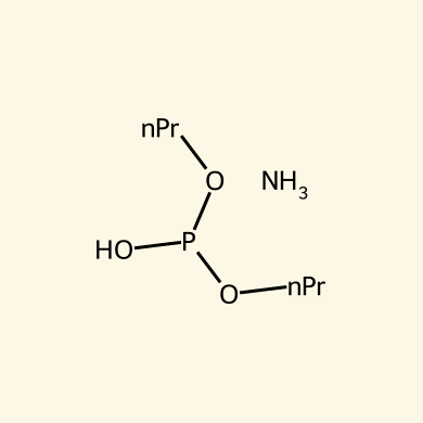 CCCOP(O)OCCC.N